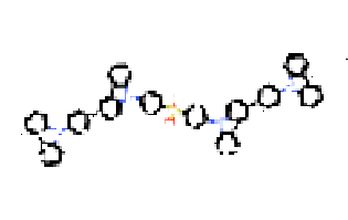 O=S(=O)(c1ccc(-n2c3ccccc3c3cc(-c4ccc(-n5c6ccccc6c6ccccc65)cc4)ccc32)cc1)c1ccc(-n2c3ccccc3c3cc(-c4ccc(-n5c6ccccc6c6ccccc65)cc4)ccc32)cc1